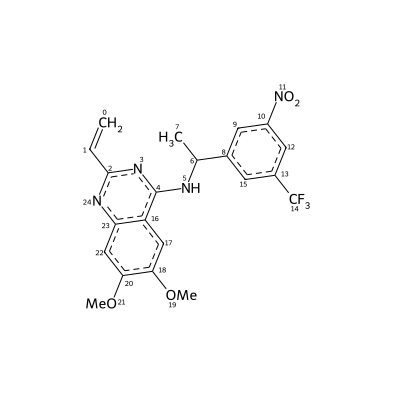 C=Cc1nc(NC(C)c2cc([N+](=O)[O-])cc(C(F)(F)F)c2)c2cc(OC)c(OC)cc2n1